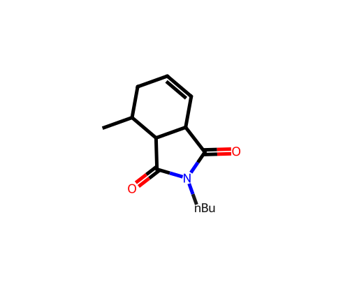 CCCCN1C(=O)C2C=CCC(C)C2C1=O